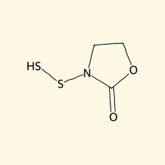 O=C1OCCN1SS